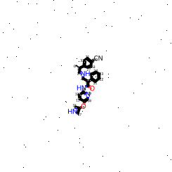 C[C@H](CNCC(C(=O)Nc1ccc(OC2CNC2)cn1)c1ccccc1)c1ccc(C#N)cc1